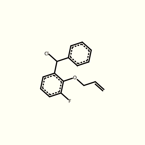 C=CCOc1c(F)cccc1C(Cl)c1[c]cccc1